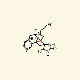 Cc1ccc2c(c1)[C@]13CCN(CCC(C)C)[C@H](C2)[C@]1(O)CC[C@@]1(C3)NC(=O)NC1=O